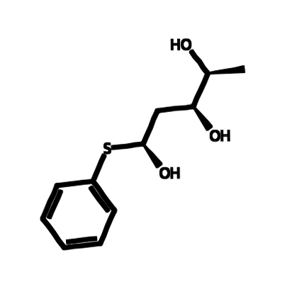 C[C@H](O)[C@@H](O)C[C@@H](O)Sc1ccccc1